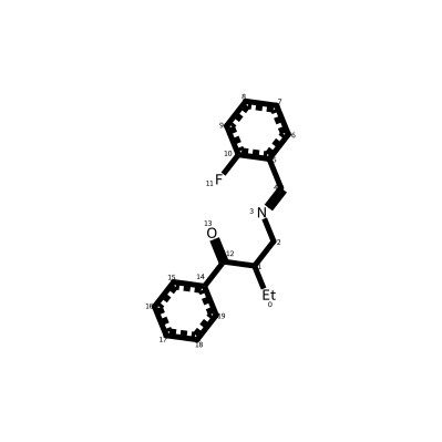 CCC(CN=Cc1ccccc1F)C(=O)c1ccccc1